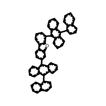 c1ccc2c(-c3c4ccccc4c(-c4ccc5c(c4)oc4c(-c6c7ccccc7c(-c7cccc8ccccc78)c7ccccc67)cccc45)c4ccccc34)cccc2c1